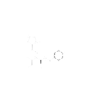 CCC(C)[C@H](NCC1CC(S)CN1)C(=O)NCc1ccccc1